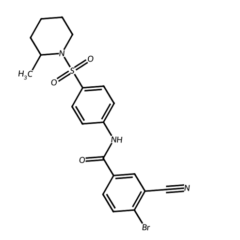 CC1CCCCN1S(=O)(=O)c1ccc(NC(=O)c2ccc(Br)c(C#N)c2)cc1